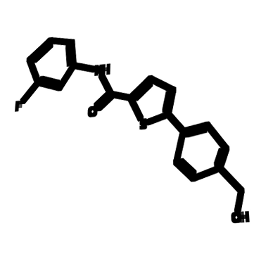 O=C(Nc1cccc(F)c1)c1ccc(-c2ccc(CO)cc2)s1